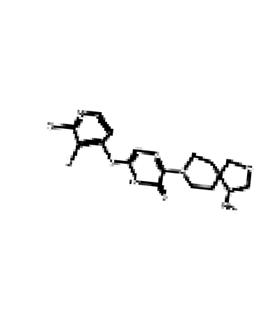 NC1COCC12CCN(c1ncc(Sc3ccnc(Cl)c3Cl)[nH]c1=O)CC2